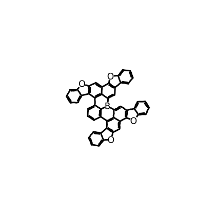 c1cc2c3c(c1)-c1c4c(cc5c6ccccc6oc5c4cc4oc5ccccc5c14)B3c1cc3c4ccccc4oc3c3cc4oc5ccccc5c4c-2c13